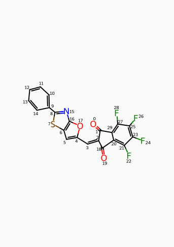 O=C1C(=Cc2cc3sc(-c4ccccc4)nc3o2)C(=O)c2c(F)c(F)c(F)c(F)c21